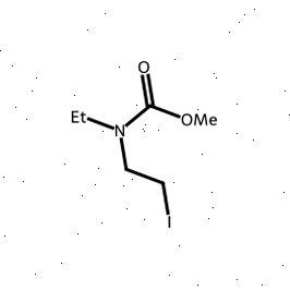 CCN(CCI)C(=O)OC